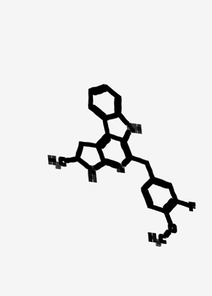 COc1ccc(Cc2nc3c(c4c2[nH]c2ccccc24)CC(C)N3)cc1F